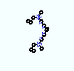 c1ccc(-c2nc(-c3ccc(-c4ccc(C56CC7CC(C5)C(c5ccc(-c8ccc(-c9nc(-c%10ccccc%10)nc(-c%10cccc(-c%11cccc%12ccccc%11%12)c%10)n9)cn8)cn5)(C7)C6)nc4)nc3)nc(-c3cccc(-c4cccc5ccccc45)c3)n2)cc1